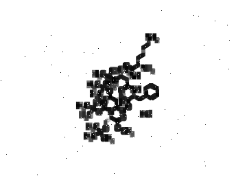 COC(=O)[C@H](COC(C)(C)C)N(C(=O)OC(C)(C)C)C(=O)[C@@H](NC(=O)[C@H](Cc1ccccc1)NC(=O)[C@@H](NC(=O)[C@@H](N)CCCCN)[C@@H](C)OC(C)(C)C)[C@@H](C)OC(C)(C)C.Cl